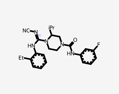 CCc1ccccc1N/C(=N\C#N)N1CCN(C(=O)Nc2cccc(F)c2)CC1C(C)C